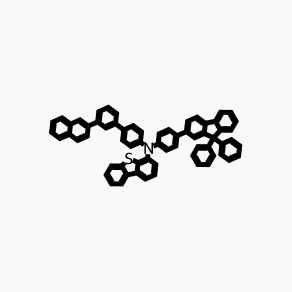 c1ccc(C2(c3ccccc3)c3ccccc3-c3ccc(-c4ccc(N(c5ccc(-c6cccc(-c7ccc8ccccc8c7)c6)cc5)c5cccc6c5sc5ccccc56)cc4)cc32)cc1